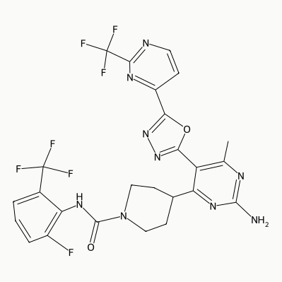 Cc1nc(N)nc(C2CCN(C(=O)Nc3c(F)cccc3C(F)(F)F)CC2)c1-c1nnc(-c2ccnc(C(F)(F)F)n2)o1